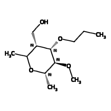 CCCO[C@@H]1[C@@H](OC)[C@H](C)OC(C)[C@@H]1CO